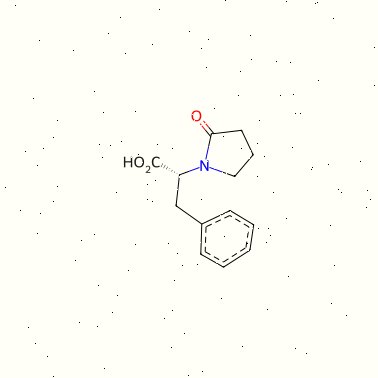 O=C(O)[C@@H](Cc1ccccc1)N1CCCC1=O